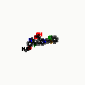 COc1ccc2nccc([C@H](F)CC[C@@H]3CCN(CCCSc4ccccc4Cl)C[C@H]3CCC(=O)O)c2c1